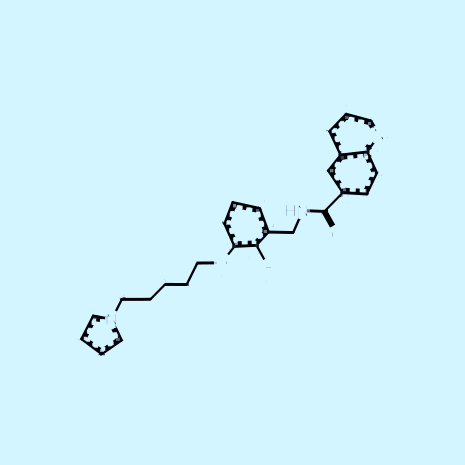 O=C(NCc1cccc(OCCCCCn2cccc2)c1F)c1ccc2ncccc2c1